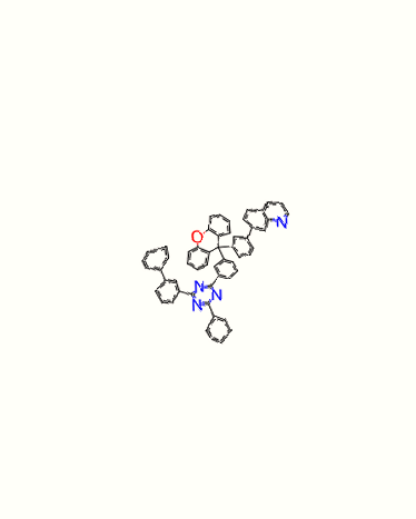 c1ccc(-c2cccc(-c3nc(-c4ccccc4)nc(-c4cccc(C5(c6cccc(-c7ccc8cccnc8c7)c6)c6ccccc6Oc6ccccc65)c4)n3)c2)cc1